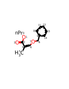 CCCOC(=O)C(C)=COCc1ccccc1